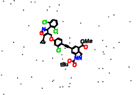 COC(=O)c1cc(C#Cc2ccc(OCc3c(-c4c(Cl)cccc4Cl)noc3C3CC3)cc2Cl)cc2c1cnn2C(=O)OC(C)(C)C